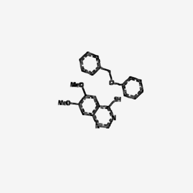 COc1cc2ncnc(S)c2cc1OC.c1ccc(COc2ccccc2)cc1